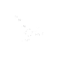 CCNC(=O)c1cc(NC2CCC2)nc(N2CCN(CC)CC2)c1